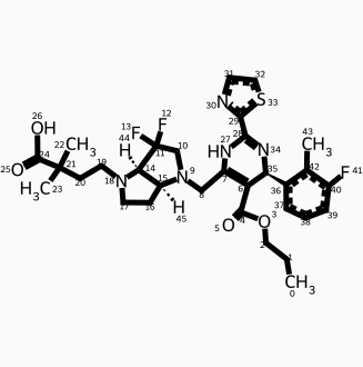 CCCOC(=O)C1=C(CN2CC(F)(F)[C@H]3[C@@H]2CCN3CCC(C)(C)C(=O)O)NC(c2nccs2)=N[C@H]1c1cccc(F)c1C